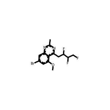 COc1cc(Br)cc2nc(C)nc(CC(F)C(F)CF)c12